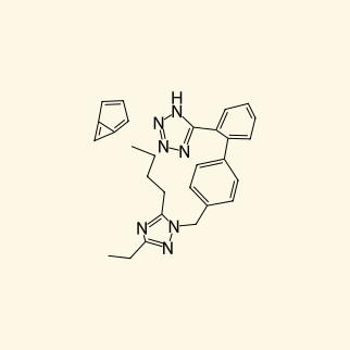 CCCCc1nc(CC)nn1Cc1ccc(-c2ccccc2-c2nnn[nH]2)cc1.c1cc2cc-2c1